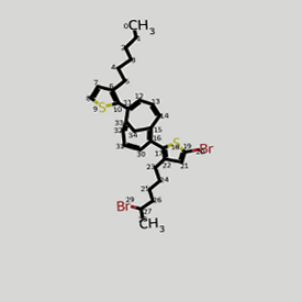 CCCCCCc1ccsc1C1=CC=CC2=C(c3sc(Br)cc3CCCCC(C)Br)C=CC=C1C2